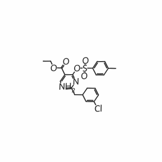 C=C(CC1C=C(Cl)C=CC1)/N=C(OS(=O)(=O)c1ccc(C)cc1)\C(=C/N)C(=O)OCC